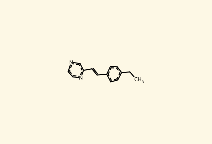 CCc1ccc(C=Cc2cnccn2)cc1